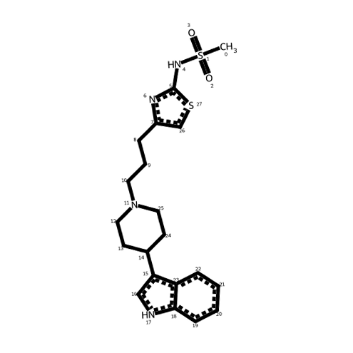 CS(=O)(=O)Nc1nc(CCCN2CCC(c3c[nH]c4ccccc34)CC2)cs1